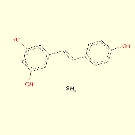 Oc1ccc(C=Cc2cc(O)cc(O)c2)cc1.[SiH4]